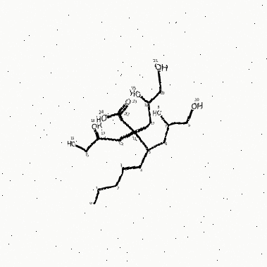 CCCCCC(CC(O)CO)C(CC(O)CO)(CC(O)CO)C(=O)O